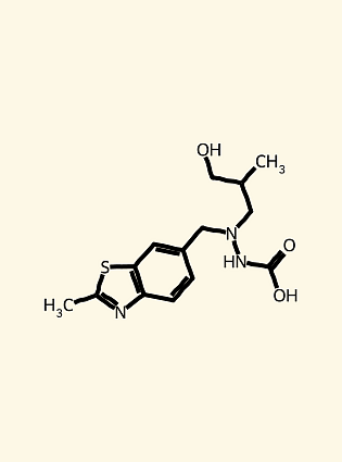 Cc1nc2ccc(CN(CC(C)CO)NC(=O)O)cc2s1